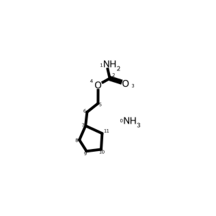 N.NC(=O)OCCC1CCCC1